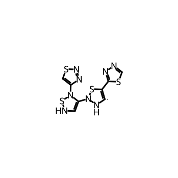 [C]1=C(c2nncs2)SN(C2=CNSN2c2csnn2)N1